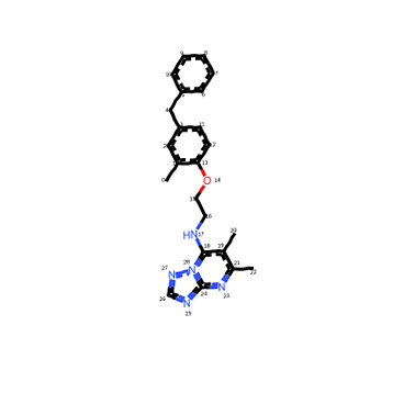 Cc1cc(Cc2ccccc2)ccc1OCCNc1c(C)c(C)nc2ncnn12